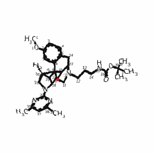 COc1ccc2c(c1)C13CCN(CCCNC(=O)OC(C)(C)C)C(C2)C12CCC1C3[C@H](CN1c1nc(C)cc(C)n1)C2